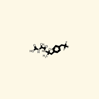 CC(NC(=O)O)C(=O)NC(C)(C)Cc1ccc(CC(F)(F)F)cc1